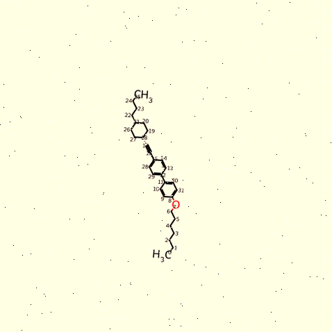 CCCCCCCOc1ccc(-c2ccc(C#C[C@H]3CC[C@H](CCCC)CC3)cc2)cc1